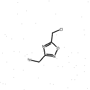 [2H]Cc1noc(CCl)n1